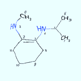 CNC1=C(NC(C)C)CCCC1